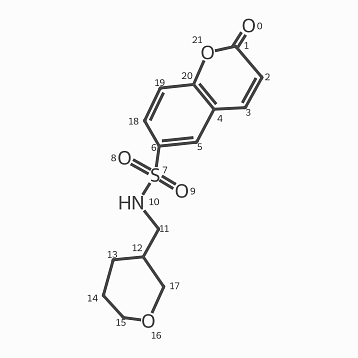 O=c1ccc2cc(S(=O)(=O)NCC3CCCOC3)ccc2o1